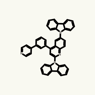 c1cc(-c2ccncc2)cc(-c2cc(-n3c4ccccc4c4ccccc43)nc3ccc(-n4c5ccccc5c5ccccc54)cc23)c1